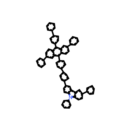 c1ccc(-c2ccc(-c3c4ccc(-c5ccccc5)cc4c(-c4ccc(-c5ccc(-c6ccc7c(c6)c6cc(-c8ccccc8)ccc6n7-c6ccccc6)cc5)cc4)c4ccc(-c5ccccc5)cc34)cc2)cc1